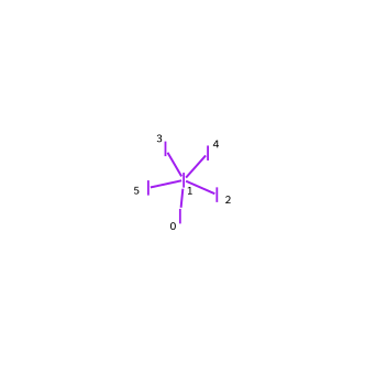 II(I)(I)(I)I